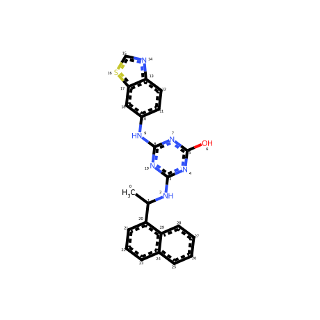 CC(Nc1nc(O)nc(Nc2ccc3ncsc3c2)n1)c1cccc2ccccc12